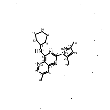 Cc1cnc2c(NC3CCCCC3)nc(-n3nc(C)cc3C)nc2c1